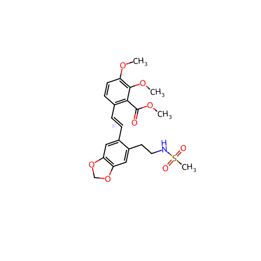 COC(=O)c1c(/C=C/c2cc3c(cc2CCNS(C)(=O)=O)OCO3)ccc(OC)c1OC